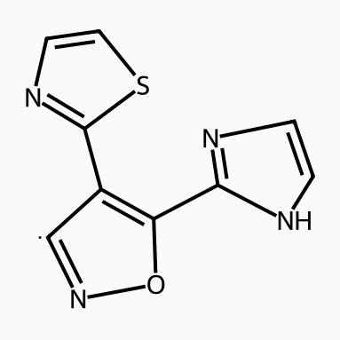 [c]1noc(-c2ncc[nH]2)c1-c1nccs1